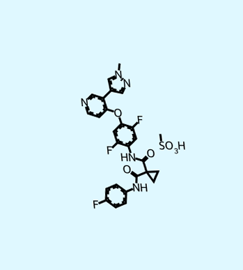 CS(=O)(=O)O.Cn1cc(-c2cnccc2Oc2cc(F)c(NC(=O)C3(C(=O)Nc4ccc(F)cc4)CC3)cc2F)cn1